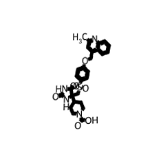 Cc1cc(COc2ccc(S(=O)(=O)CC3(C4CCN(C(=O)O)CC4)NC(=O)NC3=O)cc2)c2ccccc2n1